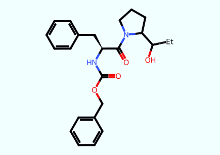 CCC(O)C1CCCN1C(=O)[C@H](Cc1ccccc1)NC(=O)OCc1ccccc1